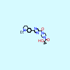 CCN1CCCc2cc(-c3cnc(C(=O)N4CCN(C(=O)C5(O)CC5)CC4)cn3)ccc21